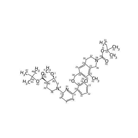 CO[C@H]1CN(c2cccc(-c3cccc(Cl)c3OCc3cc(C)c4c(c3)CCN(C(=O)OC(C)(C)C)C4)n2)CC[C@H]1C(=O)OC(C)(C)C